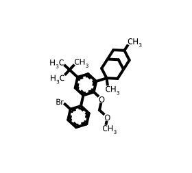 COCOc1c(-c2ccccc2Br)cc(C(C)(C)C)cc1C1(C)CC2CC(C)CC(C2)C1